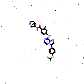 Cc1cc(Nc2nccn3c(-c4ccc(OC(F)F)cc4)cnc23)ccc1C(=O)NC1CN2CCC1CC2